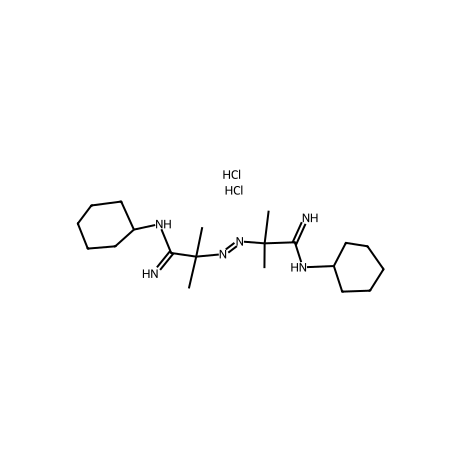 CC(C)(/N=N/C(C)(C)C(=N)NC1CCCCC1)C(=N)NC1CCCCC1.Cl.Cl